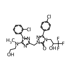 CN(CCO)c1nc(Cn2nc(-c3ccc(Cl)cc3)n(CC(O)C(F)(F)F)c2=O)nn1-c1ccccc1Cl